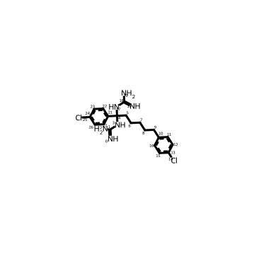 N=C(N)NC(CCCCCc1ccc(Cl)cc1)(NC(=N)N)c1ccc(Cl)cc1